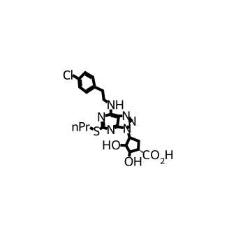 CCCSc1nc(NCCc2ccc(Cl)cc2)c2nnn(C3C[C@H](C(=O)O)C(O)C3O)c2n1